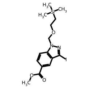 COC(=O)c1ccc2c(c1)c(I)nn2COCC[Si](C)(C)C